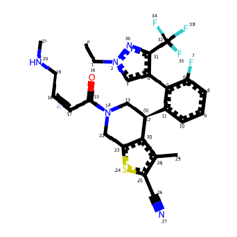 CCn1cc(-c2c(F)cccc2[C@@H]2CN(C(=O)/C=C\CNC)Cc3sc(C#N)c(C)c32)c(C(F)(F)F)n1